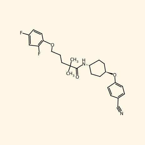 CC(C)(CCCOc1ccc(F)cc1F)C(=O)N[C@H]1CC[C@H](Oc2ccc(C#N)cc2)CC1